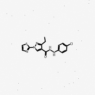 CCc1nn(-c2nccs2)cc1C(=O)NNc1ccc(Cl)cc1